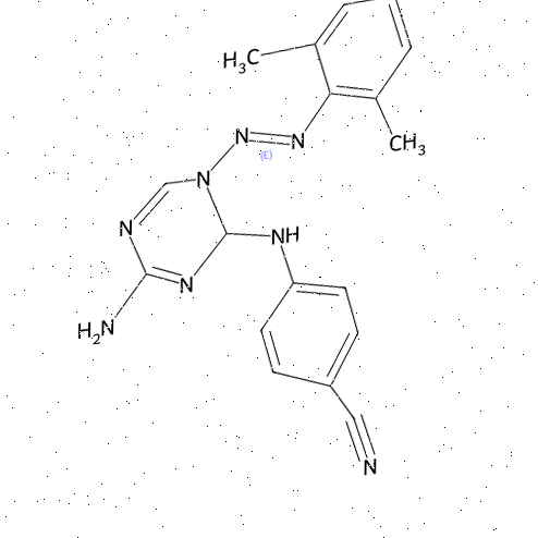 Cc1cc(C)c(/N=N/N2C=NC(N)=NC2Nc2ccc(C#N)cc2)c(C)c1